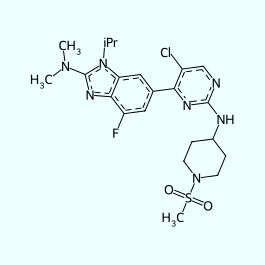 CC(C)n1c(N(C)C)nc2c(F)cc(-c3nc(NC4CCN(S(C)(=O)=O)CC4)ncc3Cl)cc21